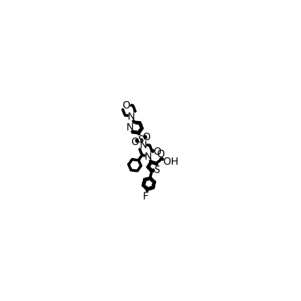 O=C(O)c1sc(-c2ccc(F)cc2)cc1N1C(=O)CN(S(=O)(=O)c2ccc(N3CCOCC3)nc2)CC1C1CCCCC1